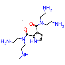 CNCCN(CCN)C(=O)c1[nH]ccc1C(=O)N(CCN)CCN